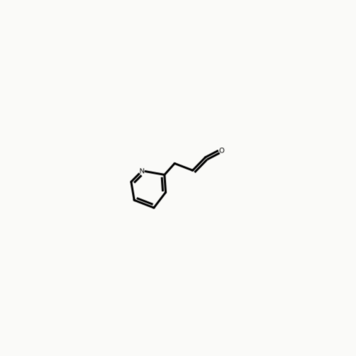 O=C=CCc1ccccn1